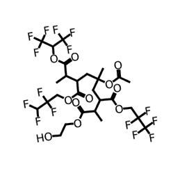 CC(=O)OC(C)(CC(C(=O)OCC(F)(F)C(F)(F)F)C(C)C(=O)OCCO)CC(C(=O)OCC(F)(F)C(F)F)C(C)C(=O)OC(C(F)(F)F)C(F)(F)F